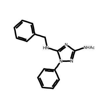 CC(=O)Nc1nc(NCc2ccccc2)n(-c2ccccc2)n1